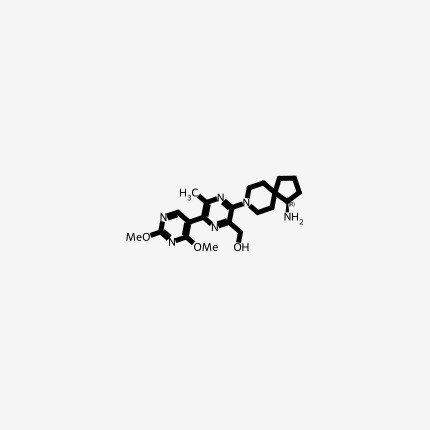 COc1ncc(-c2nc(CO)c(N3CCC4(CCC[C@H]4N)CC3)nc2C)c(OC)n1